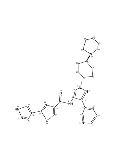 O=C(Nc1cn([C@H]2CC[C@H](N3CCOCC3)CC2)nc1-c1cnccn1)c1coc(-c2cn[nH]c2)n1